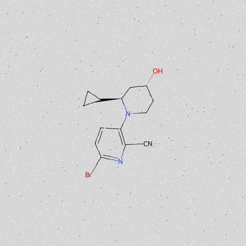 N#Cc1nc(Br)ccc1N1CC[C@@H](O)C[C@@H]1C1CC1